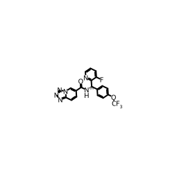 O=C(N[C@@H](c1ccc(OC(F)(F)F)cc1)c1ncccc1F)c1ccc2nnnn2c1